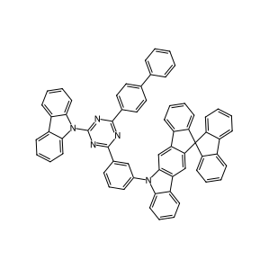 c1ccc(-c2ccc(-c3nc(-c4cccc(-n5c6ccccc6c6cc7c(cc65)-c5ccccc5C75c6ccccc6-c6ccccc65)c4)nc(-n4c5ccccc5c5ccccc54)n3)cc2)cc1